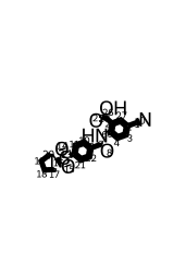 N#Cc1ccc(NC(=O)c2ccc(S(=O)(=O)N3CCCC3)cc2)c(C(=O)O)c1